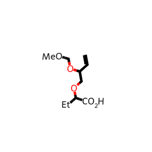 C=CC(COC(CC)C(=O)O)OCOC